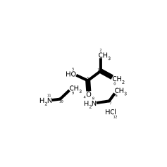 C=C(C)C(=O)O.CCN.CCN.Cl